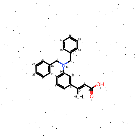 CC(=CC(=O)O)c1cccc(N(Cc2ccccc2)Cc2ccccc2)c1